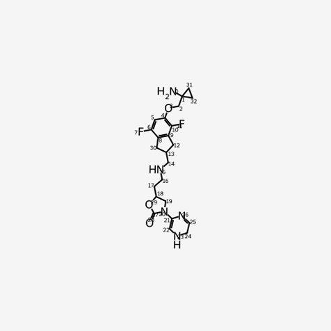 NC1(COc2cc(F)c3c(c2F)CC(CNCCC2CN(C4=CNCC=N4)C(=O)O2)C3)CC1